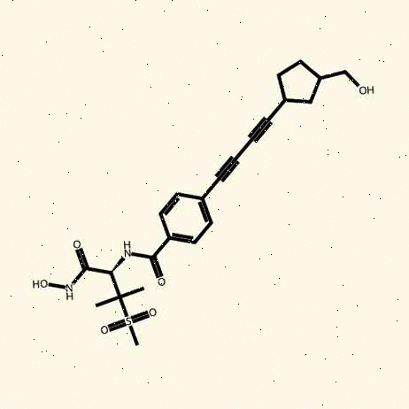 CC(C)([C@H](NC(=O)c1ccc(C#CC#CC2CCC(CO)C2)cc1)C(=O)NO)S(C)(=O)=O